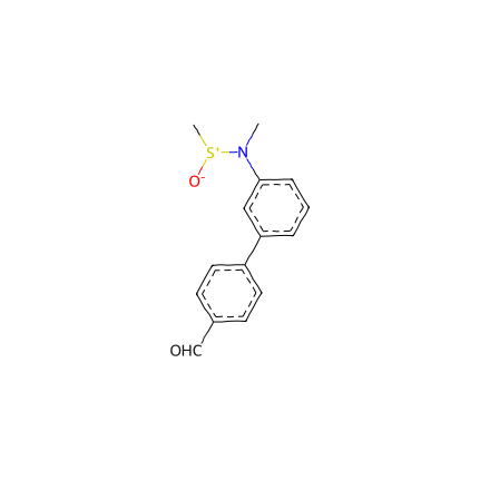 CN(c1cccc(-c2ccc(C=O)cc2)c1)[S+](C)[O-]